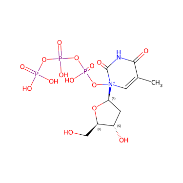 CC1=C[N+](OP(=O)(O)OP(=O)(O)OP(=O)(O)O)([C@H]2C[C@H](O)[C@@H](CO)O2)C(=O)NC1=O